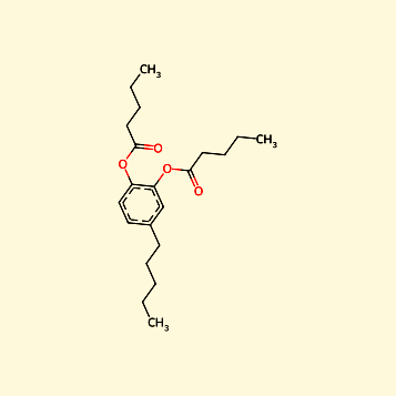 CCCCCc1ccc(OC(=O)CCCC)c(OC(=O)CCCC)c1